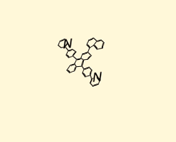 C1=CN=C(c2ccc(-c3c4ccccc4c(-c4ccc(-c5ccccn5)cc4)c4ccc(-c5cccc6ccccc56)cc34)cc2)CC1